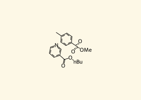 CCCCOC(=O)c1cccnc1.COS(=O)(=O)c1ccc(C)cc1